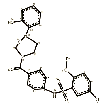 CCOc1ccc(Cl)cc1S(=O)(=O)Nc1ccc(C(=O)N2CCN(c3ccccc3O)CC2)cc1